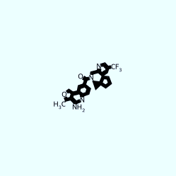 C[C@@H]1OCc2c1c(N)nc1ccc(C(=O)N(Cc3ccc(C(F)(F)F)cn3)[C@H]3CC34CCCC4)cc21